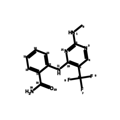 CNc1ncc(C(F)(F)F)c(Nc2ccccc2C(N)=O)n1